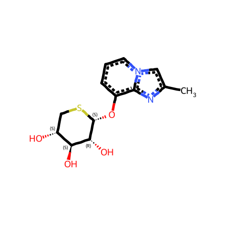 Cc1cn2cccc(O[C@H]3SC[C@@H](O)[C@H](O)[C@H]3O)c2n1